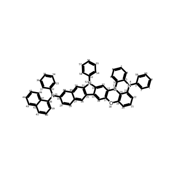 c1ccc(N2c3ccccc3B3c4cc5c(cc4Oc4cccc2c43)c2cc3ccc(N(c4ccccc4)c4cccc6ccccc46)cc3cc2n5-c2ccccc2)cc1